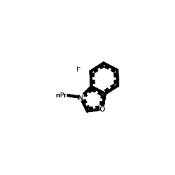 CCC[n+]1coc2ccccc21.[I-]